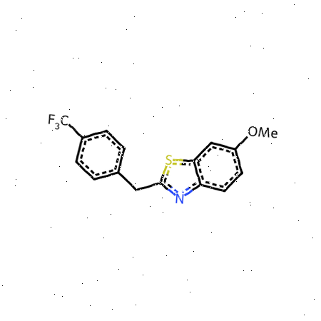 COc1ccc2nc(Cc3ccc(C(F)(F)F)cc3)sc2c1